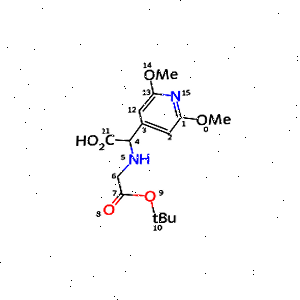 COc1cc(C(NCC(=O)OC(C)(C)C)C(=O)O)cc(OC)n1